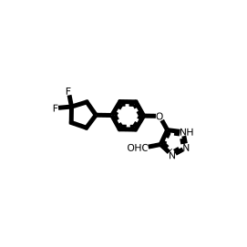 O=Cc1nn[nH]c1Oc1ccc(C2CCC(F)(F)C2)cc1